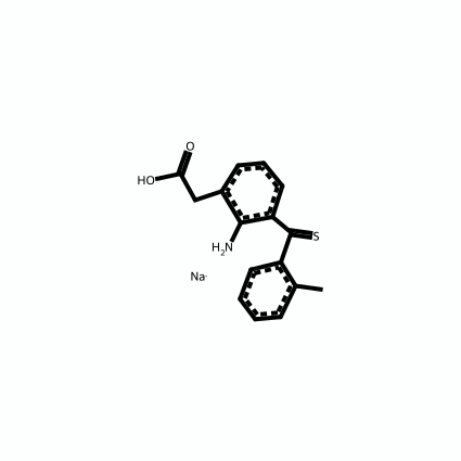 Cc1ccccc1C(=S)c1cccc(CC(=O)O)c1N.[Na]